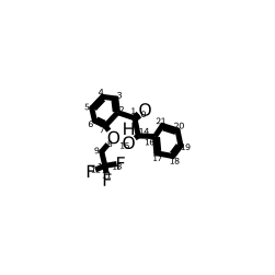 O=C(c1ccccc1OCC(F)(F)F)C(O)c1ccccc1